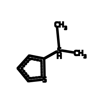 C[SH](C)c1cccs1